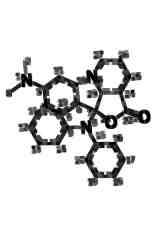 CN(C)c1ccc(C2(N(c3ccccc3)c3ccccc3)OC(=O)c3cccnc32)cc1